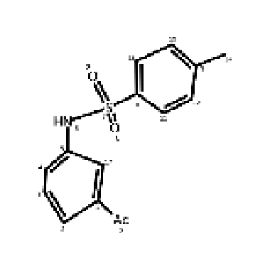 CC(=O)c1cccc(NS(=O)(=O)c2ccc(C)cc2)c1